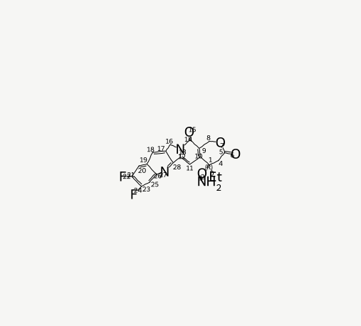 CC[C@@]1(ON)CC(=O)OCc2c1cc1n(c2=O)Cc2cc3cc(F)c(F)cc3nc2-1